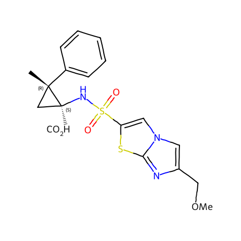 COCc1cn2cc(S(=O)(=O)N[C@@]3(C(=O)O)C[C@]3(C)c3ccccc3)sc2n1